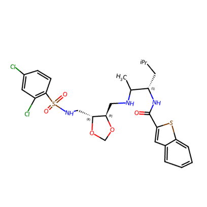 CC(C)C[C@H](NC(=O)c1cc2ccccc2s1)C(C)NC[C@H]1OCO[C@@H]1CNS(=O)(=O)c1ccc(Cl)cc1Cl